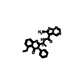 CCc1cccc2nc([C@H](C)NC(=O)c3c(N)nn4ncncc34)n(-c3ccccc3)c(=O)c12